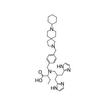 CCC(C(=O)O)N(Cc1ccc(CN2CCC3(CCN(C4CCCCC4)CC3)C2)cc1)CC(Cc1ncc[nH]1)Cc1ncc[nH]1